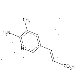 Cc1cc(C=CC(=O)O)cnc1N